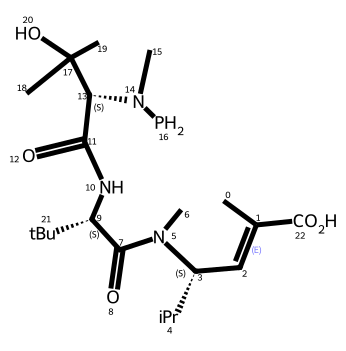 C/C(=C\[C@H](C(C)C)N(C)C(=O)[C@@H](NC(=O)[C@@H](N(C)P)C(C)(C)O)C(C)(C)C)C(=O)O